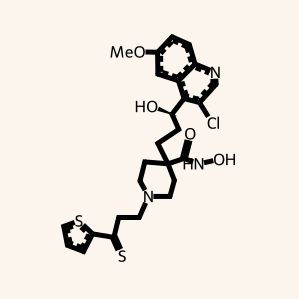 COc1ccc2ncc(Cl)c([C@H](O)CCC3(C(=O)NO)CCN(CCC(=S)c4cccs4)CC3)c2c1